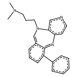 CN(C)CCCN1C=c2cccc(-c3ccccc3)c2=Nc2ccncc21